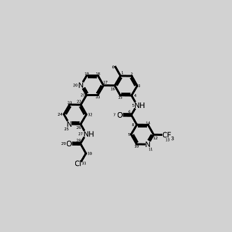 Cc1ccc(NC(=O)c2ccnc(C(F)(F)F)c2)cc1-c1ccnc(-c2ccnc(NC(=O)CCl)c2)c1